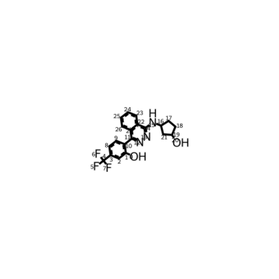 Oc1cc(C(F)(F)F)ccc1-c1nnc(NC2CCC(O)C2)c2ccccc12